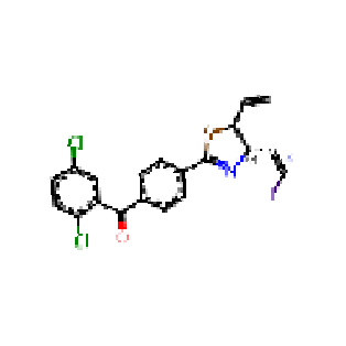 C=CC1SC(c2ccc(C(=O)c3cc(Cl)ccc3Cl)cc2)=N[C@H]1/C=C\I